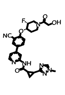 Cn1cnc(C2CC2C(=O)Nc2cc(-c3ccc(O[C@H]4CCN(C(=O)CO)C[C@H]4F)c(C#N)c3)ccn2)n1